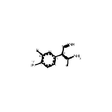 C/C(N)=C(/C=N)c1ccc(C(C)C)c(C)c1